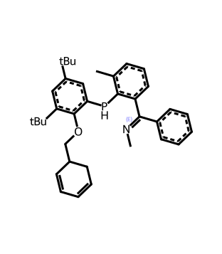 C/N=C(\c1ccccc1)c1cccc(C)c1Pc1cc(C(C)(C)C)cc(C(C)(C)C)c1OCC1C=CC=CC1